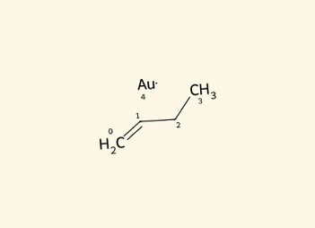 C=CCC.[Au]